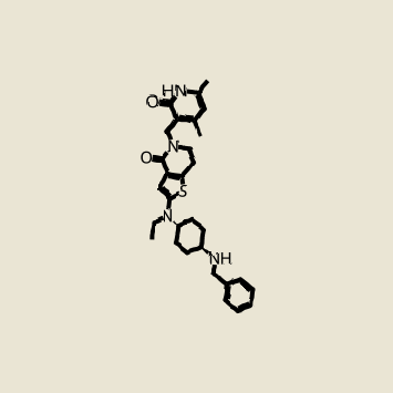 CCN(c1cc2c(s1)CCN(Cc1c(C)cc(C)[nH]c1=O)C2=O)[C@H]1CC[C@H](NCc2ccccc2)CC1